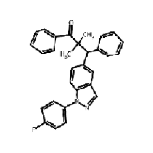 CC(C)(C(=O)c1ccccc1)C(c1ccccc1)c1ccc2c(cnn2-c2ccc(F)cc2)c1